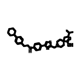 CC(C)CCC1(C(=O)O)CCN(Cc2nc(-c3ccc(NCCc4ccc(C5CCCCC5)cc4)cc3)cs2)CC1